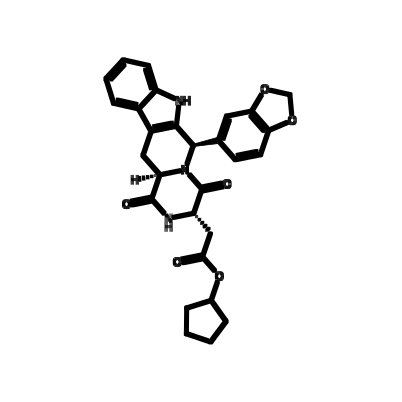 O=C(C[C@@H]1NC(=O)[C@H]2Cc3c([nH]c4ccccc34)[C@@H](c3ccc4c(c3)OCO4)N2C1=O)OC1CCCC1